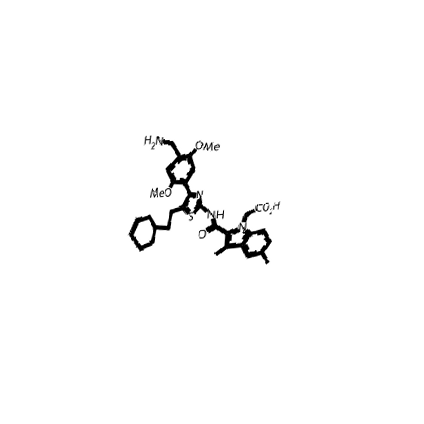 COc1cc(-c2nc(NC(=O)c3c(C)c4cc(C)ccc4n3CC(=O)O)sc2CCC2CCCCC2)c(OC)cc1CN